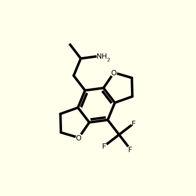 CC(N)Cc1c2c(c(C(F)(F)F)c3c1OCC3)OCC2